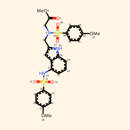 COC(=O)CN(Cc1cc2c(NS(=O)(=O)c3ccc(OC)cc3)cccc2[nH]1)S(=O)(=O)c1ccc(OC)cc1